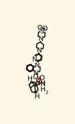 NC(=O)C12CC3C[C@H](C1)C(NC(=O)ON1CCN(c4ccc(N5CCC(N6CCS(=O)(=O)CC6)CC5)cn4)c4ccccc41)[C@@H](C3)C2